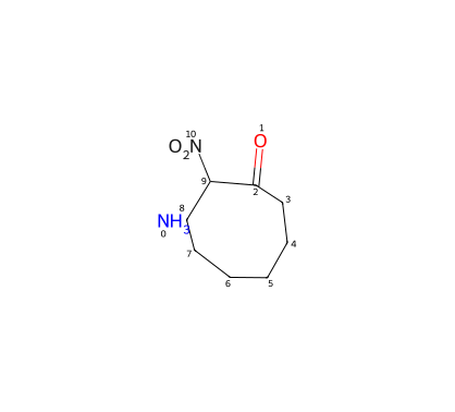 N.O=C1CCCCCCC1[N+](=O)[O-]